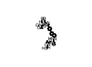 COC(=O)N[C@H](C(=O)N1CCS(=O)(=O)CC1c1ncc(-c2ccc(-c3ccc4c(ccc5nc(C6C[Si](C)(C)CN6C(=O)[C@@H](NC(=O)CO)C(C)C)[nH]c54)c3)cc2)[nH]1)C(C)C